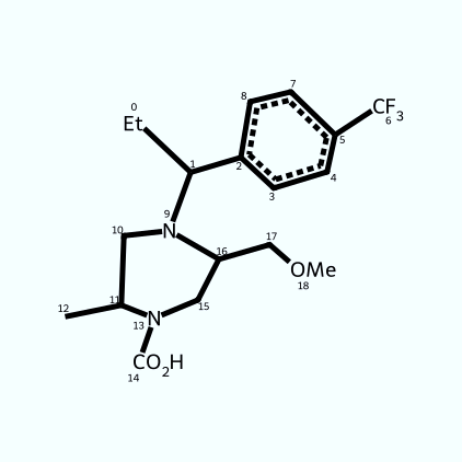 CCC(c1ccc(C(F)(F)F)cc1)N1CC(C)N(C(=O)O)CC1COC